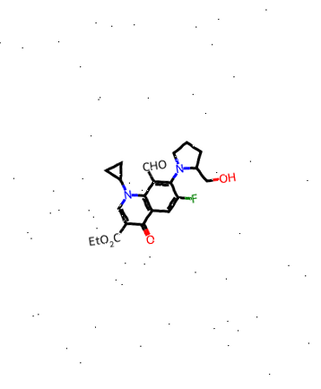 CCOC(=O)c1cn(C2CC2)c2c(C=O)c(N3CCCC3CO)c(F)cc2c1=O